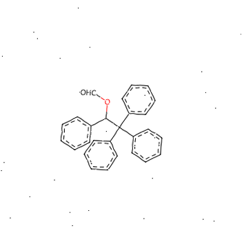 O=[C]OC(c1ccccc1)C(c1ccccc1)(c1ccccc1)c1ccccc1